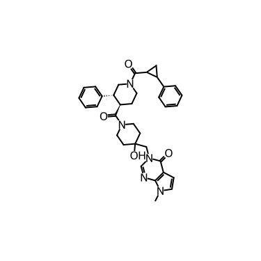 Cn1ccc2c(=O)n(CC3(O)CCN(C(=O)[C@@H]4CCN(C(=O)C5CC5c5ccccc5)C[C@H]4c4ccccc4)CC3)cnc21